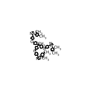 Cc1ccc(-n2ccnc2-c2ccc(Oc3ccc(C(C)(c4ccc(Oc5ccc(-c6nccn6-c6ccc(C)cc6C)cc5)cc4)c4ccc(Oc5ccc(-c6nccn6-c6ccc(C)cc6C)cc5)cc4)cc3)cc2)c(C)c1